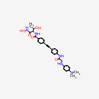 C[C@@H](O)[C@H](NC(=O)c1ccc(C#Cc2ccc(NC(=O)CNc3ccc(N(C)C)cc3)cc2)cc1)C(=O)NO